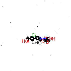 O=Cc1c(O[C@@H]2CO[C@H]3[C@@H]2OC[C@H]3O)[nH]c2cc(Cl)c(-c3ccc(C4(CO)CC4)cc3)cc12